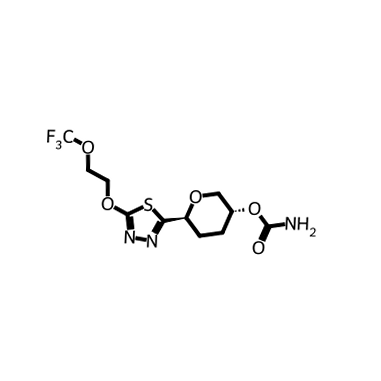 NC(=O)O[C@@H]1CC[C@@H](c2nnc(OCCOC(F)(F)F)s2)OC1